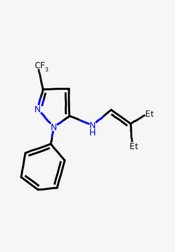 CCC(=CNc1cc(C(F)(F)F)nn1-c1ccccc1)CC